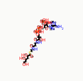 CC(C)(COP(=O)(O)OP(=O)(O)OC[C@H]1O[C@@H](n2cnc3c(N)ncnc32)[C@H](O)[C@@H]1OP(=O)(O)O)[C@@H](O)C(=O)NCCC(=O)NCCSC(=O)C(O)CC(O)CCO